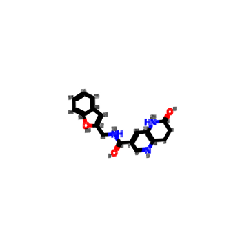 O=C1CCc2ncc(C(=O)NCc3cc4ccccc4o3)cc2N1